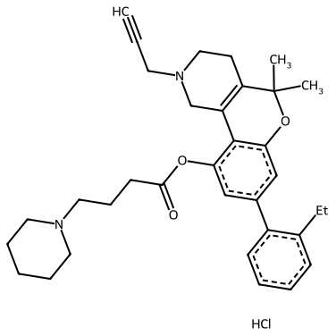 C#CCN1CCC2=C(C1)c1c(OC(=O)CCCN3CCCCC3)cc(-c3ccccc3CC)cc1OC2(C)C.Cl